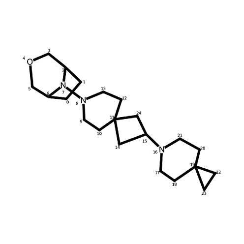 C1CC2COCC1N2N1CCC2(CC1)CC(N1CCC3(CC1)CC3)C2